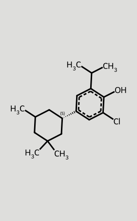 CC1C[C@H](c2cc(Cl)c(O)c(C(C)C)c2)CC(C)(C)C1